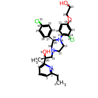 CCc1cccc([C@](C)(O)CN2CCN(c3ccc(OCCO)cc3Cl)[C@H](c3ccc(Cl)cc3)C2)n1